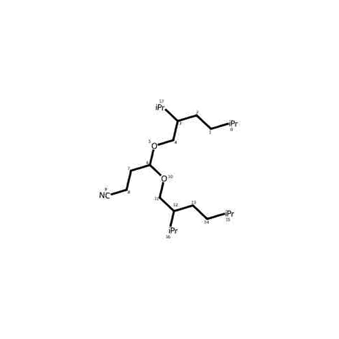 CC(C)CCC(COC(CCC#N)OCC(CCC(C)C)C(C)C)C(C)C